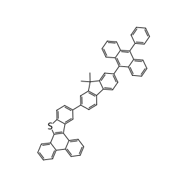 CC1(C)c2cc(-c3ccc4sc5c6ccccc6c6ccccc6c5c4c3)ccc2-c2ccc(-c3c4ccccc4c(-c4ccccc4)c4ccccc34)cc21